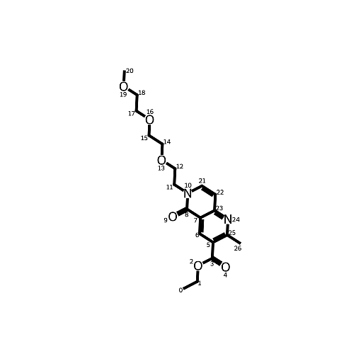 CCOC(=O)c1cc2c(=O)n(CCOCCOCCOC)ccc2nc1C